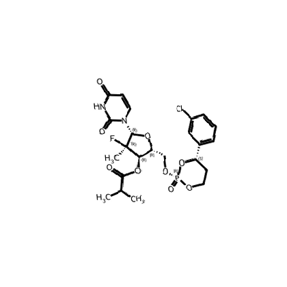 CC(C)C(=O)O[C@@H]1[C@@H](CO[P@@]2(=O)OCC[C@@H](c3cccc(Cl)c3)O2)O[C@@H](n2ccc(=O)[nH]c2=O)[C@]1(C)F